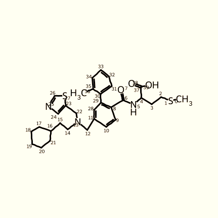 CSCCC(NC(=O)c1ccc(CN(CCC2CCCCC2)Cc2cncs2)cc1-c1ccccc1C)C(=O)O